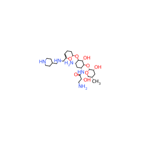 C[C@@H]1CO[C@H](O[C@@H]2[C@@H](O)[C@H](O[C@@H]3CCC=C(CNCC4CCNCC4)O3)[C@@H](N)C[C@H]2NC(=O)[C@H](O)CN)[C@H](O)C1